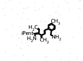 C=C/C(C(=C)/C=C/c1cc(C)ccc1CN)=C(/N)C(C)CCC